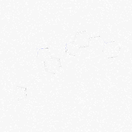 O=C1NCc2c(C#Cc3ccsc3)ccc(-c3cc4cc(CN5CCCCC5)ccc4[nH]3)c21